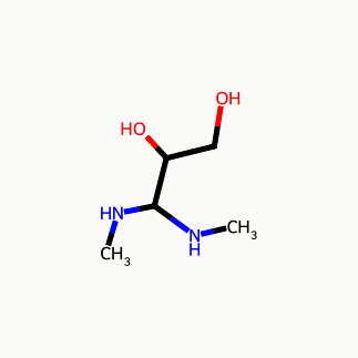 CNC(NC)C(O)CO